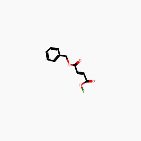 O=C(/C=C/C(=O)OCc1ccccc1)OF